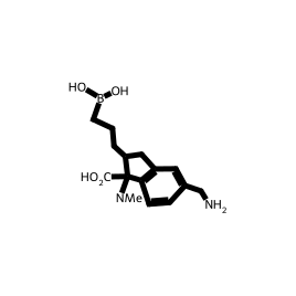 CNC1(C(=O)O)c2ccc(CN)cc2CC1CCCB(O)O